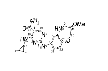 CO[C@@H]1CNc2cc(Nc3ncc(C(N)=O)c(NC4CC4)n3)ccc2OC1